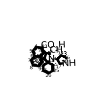 C[C@H](c1cccc2ccccc12)N([C@H]1CCNC1)C1(C(=O)CCC(=O)O)C=CC=CC1